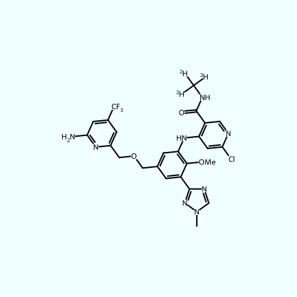 [2H]C([2H])([2H])NC(=O)c1cnc(Cl)cc1Nc1cc(COCc2cc(C(F)(F)F)cc(N)n2)cc(-c2ncn(C)n2)c1OC